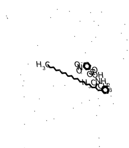 CCCCCCCCCCCCCCCCC(Cc1ccccc1)C(C)(C)N.O=[N+]([O-])c1cccc(S(=O)(=O)O)c1